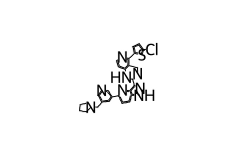 Clc1ccc(-c2nccc3c2CN=C(c2n[nH]c4ccc(-c5cncc(CN6CCCC6)c5)nc24)N3)s1